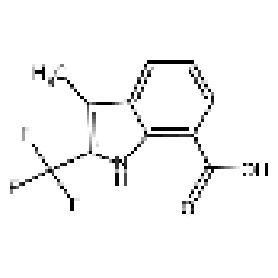 Cc1c(C(F)(F)F)[nH]c2c(C(=O)O)cccc12